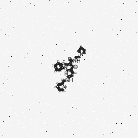 O=C(NCCN1CCCC1)c1c(=O)c2ccc(NCc3ccccn3)nc2n2c1sc1ccccc12